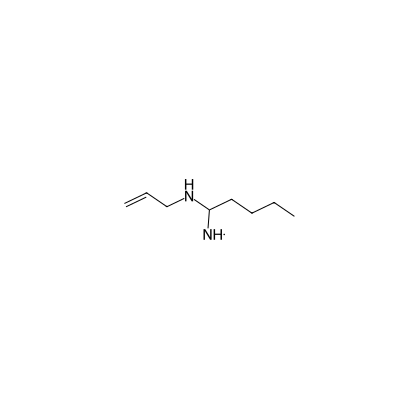 C=CCNC([NH])CCCC